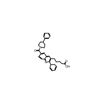 O=C(O)CCCCc1cc2cc(C(=O)N3CCC(c4ccccc4)CC3)ccc2nc1C1C=CC=CC1